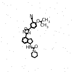 CC(C)Oc1ccc(-c2nc(-c3cccc4c3CC[C@H]4NC(=O)N3CCCCC3)no2)cc1C#N